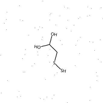 OC(O)CSS